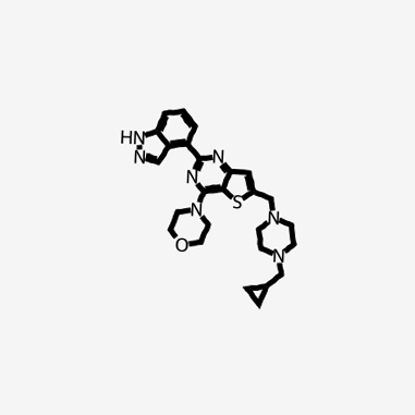 c1cc(-c2nc(N3CCOCC3)c3sc(CN4CCN(CC5CC5)CC4)cc3n2)c2cn[nH]c2c1